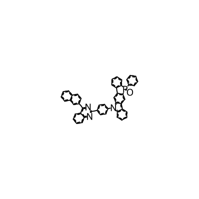 O=P1(c2ccccc2)c2ccccc2-c2cc3c(cc21)c1ccccc1n3-c1ccc(-c2nc(-c3ccc4ccccc4c3)c3ccccc3n2)cc1